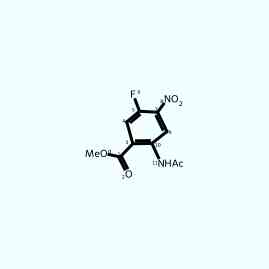 COC(=O)c1cc(F)c([N+](=O)[O-])cc1NC(C)=O